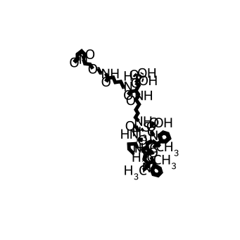 CN1/C(=C/C2=C(N3CCC[C@@H]3C(=O)N[C@@H](CSOOO)C(=O)NCCCCC(=O)NC(COP(=O)(O)O)C(=O)NCCCCC(=O)NCCOCCN3C(=O)C=CC3=O)C(=C/C3=[N+](C)c4ccccc4C3(C)C)/C2=O)C(C)(C)c2ccccc21